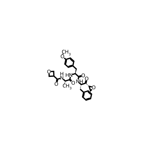 COc1ccc(C[C@H](NC(=O)[C@H](C)NC(=O)C2COC2)C(=O)N[C@@H](Cc2ccccc2)C(=O)[C@H]2CO2)cc1